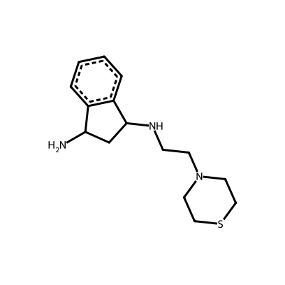 NC1CC(NCCN2CCSCC2)c2ccccc21